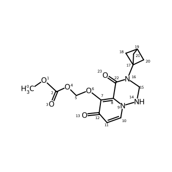 COC(=O)OCOc1c2n(ccc1=O)NCN(C13CC(C1)C3)C2=O